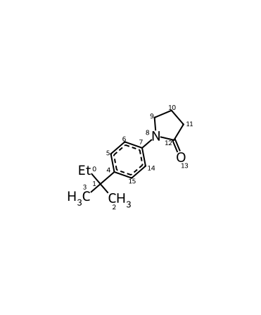 CCC(C)(C)c1ccc(N2CCCC2=O)cc1